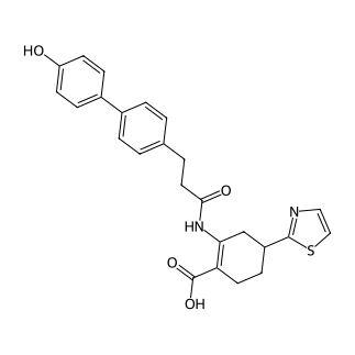 O=C(CCc1ccc(-c2ccc(O)cc2)cc1)NC1=C(C(=O)O)CCC(c2nccs2)C1